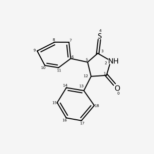 O=C1NC(=S)C(c2ccccc2)C1c1ccccc1